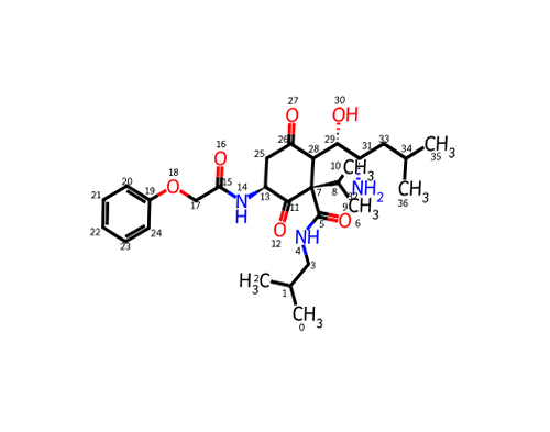 CC(C)CNC(=O)[C@]1(C(C)C)C(=O)[C@@H](NC(=O)COc2ccccc2)CC(=O)C1[C@H](O)[C@@H](N)CC(C)C